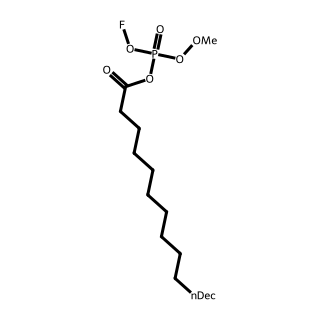 CCCCCCCCCCCCCCCCCCCC(=O)OP(=O)(OF)OOC